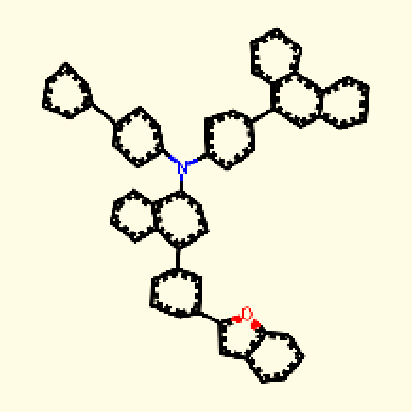 c1ccc(-c2ccc(N(c3ccc(-c4cc5ccccc5c5ccccc45)cc3)c3ccc(-c4cccc(-c5cc6ccccc6o5)c4)c4ccccc34)cc2)cc1